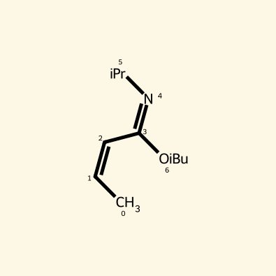 C/C=C\C(=N/C(C)C)OCC(C)C